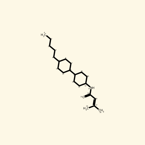 CCCCCC1CCC(C2CCC(NC(=O)C=C(C)C)CC2)CC1